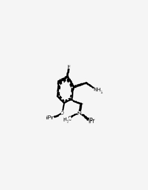 CC(C)Oc1ccc(F)c(CN)c1CN(C)C(C)C